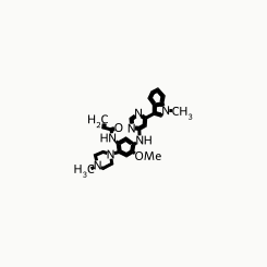 C=CC(=O)Nc1cc(Nc2cc(-c3cn(C)c4ccccc34)ncn2)c(OC)cc1N1CCN(C)CC1